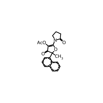 CC(=O)OC1=C(N2CCCC2=O)OC(C)(c2cccc3ccccc23)C1=O